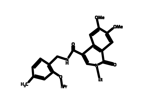 CCCOc1cc(C)ccc1CNC(=O)c1cn(CC)c(=O)c2cc(OC)c(OC)cc12